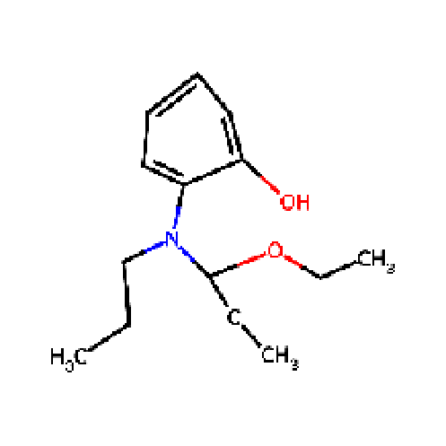 CCCN(c1ccccc1O)C(CC)OCC